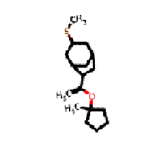 C=C(OC1(C)CCCC1)C1CC2CC(SC)CC1C2